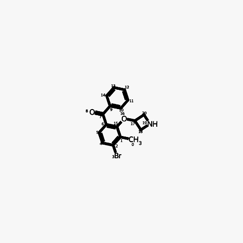 Cc1c(Br)ccc(C(=O)c2ccccc2)c1OC1CNC1